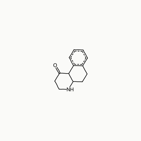 O=C1CCNC2CCc3ccccc3C12